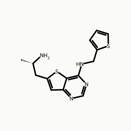 C[C@H](N)Cc1cc2ncnc(NCc3cccs3)c2s1